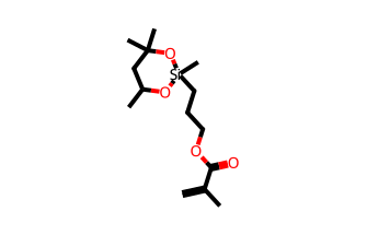 C=C(C)C(=O)OCCC[Si]1(C)OC(C)CC(C)(C)O1